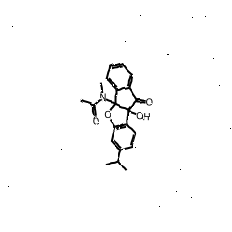 CC(=O)N(C)C12Oc3cc(C(C)C)ccc3C1(O)C(=O)c1ccccc12